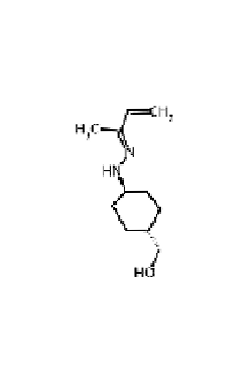 C=C/C(C)=N/N[C@H]1CC[C@H](CO)CC1